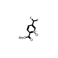 COC(=O)c1ccc(C(F)F)c[n+]1[O-]